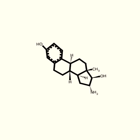 C[C@]12CC[C@@H]3c4ccc(O)cc4CC[C@H]3[C@@H]1C[C@@H](N)[C@@H]2O